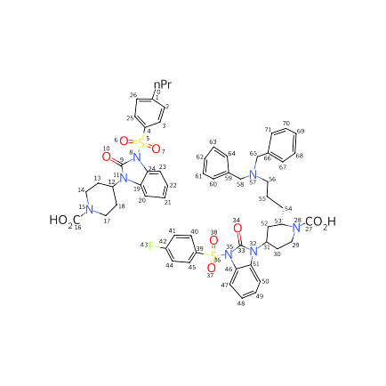 CCCc1ccc(S(=O)(=O)n2c(=O)n(C3CCN(C(=O)O)CC3)c3ccccc32)cc1.O=C(O)N1CCC(n2c(=O)n(S(=O)(=O)c3ccc(F)cc3)c3ccccc32)C[C@@H]1CCCN(Cc1ccccc1)Cc1ccccc1